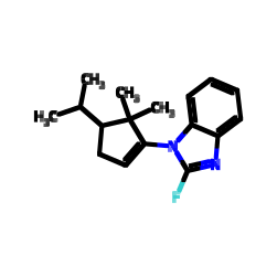 CC(C)C1CC=C(n2c(F)nc3ccccc32)C1(C)C